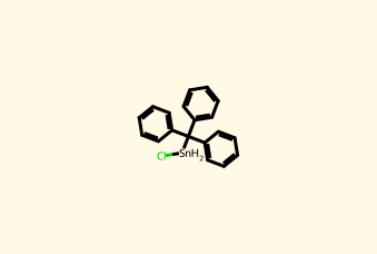 [Cl][SnH2][C](c1ccccc1)(c1ccccc1)c1ccccc1